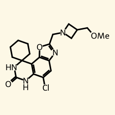 COCC1CN(Cc2nc3cc(Cl)c4c(c3o2)C2(CCCCC2)NC(=O)N4)C1